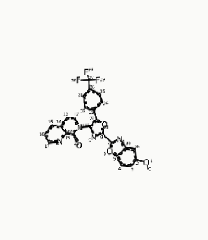 COc1ccc2oc(-c3nc(-n4ccc5cccnc5c4=O)c(-c4ccc(C(F)(F)F)cc4)o3)nc2c1